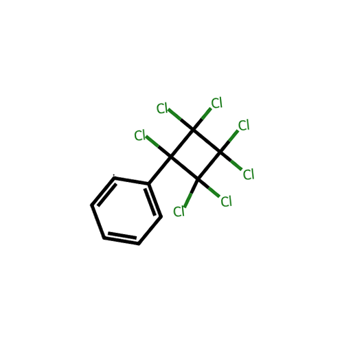 ClC1(Cl)C(Cl)(Cl)C(Cl)(c2[c]cccc2)C1(Cl)Cl